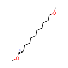 CO/C=C/CCCCCCCCCOC